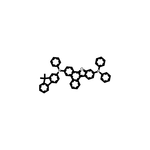 CC1(C)c2ccccc2-c2ccc(N(c3ccccc3)c3ccc4c(c3)c3ccccc3c3c5ccc(N(c6ccccc6)c6ccccc6)cc5oc43)cc21